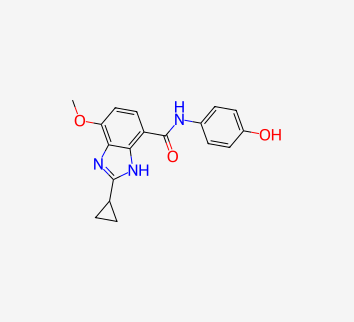 COc1ccc(C(=O)Nc2ccc(O)cc2)c2[nH]c(C3CC3)nc12